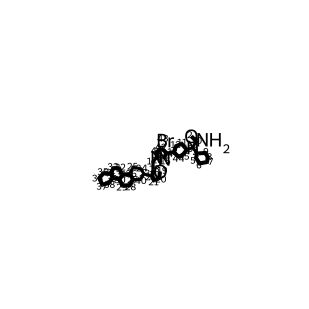 NC(=O)N(c1ccccc1)c1ccc(-c2nn(Cc3occc3C3CCc4c(ccc5c4ccc4ccccc45)C3)cc2Br)cc1